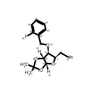 CC(C)C[C@H]1O[C@@H]2OC(C)(C)O[C@@H]2[C@H]1OCc1ccccc1F